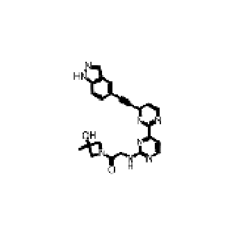 CC1(O)CN(C(=O)CNc2nccc(-c3nccc(C#Cc4ccc5[nH]ncc5c4)n3)n2)C1